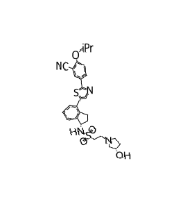 CC(C)Oc1ccc(-c2ncc(-c3cccc4c3CC[C@@H]4NS(=O)(=O)CCN3CC[C@H](O)C3)s2)cc1C#N